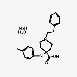 Cc1ccc(NC2(C(=O)O)CCN(CCc3ccccc3)CC2)cc1.O.[NaH]